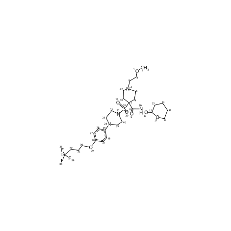 COCCN1CCC(C(=O)NOC2CCCCO2)(S(=O)(=O)N2CCN(c3ccc(OCCCC(F)(F)F)cc3)CC2)CC1